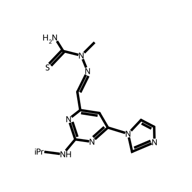 CC(C)Nc1nc(C=NN(C)C(N)=S)cc(-n2ccnc2)n1